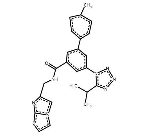 Cc1ccc(-c2cc(C(=O)NCc3cn4ccsc4n3)cc(-n3nnnc3C(C)C)c2)cc1